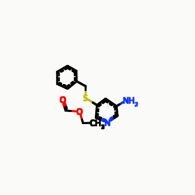 CCOC=O.Nc1cncc(SCc2ccccc2)c1